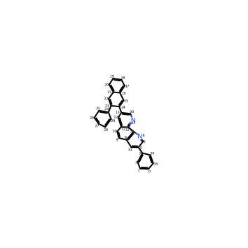 c1ccc(-c2cnc3c(ccc4cc(-c5cc6ccccc6cc5-c5ccccc5)cnc43)c2)cc1